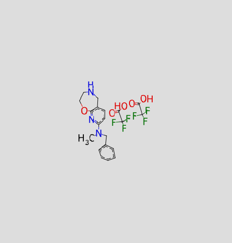 CN(Cc1ccccc1)c1ccc2c(n1)OCCNC2.O=C(O)C(F)(F)F.O=C(O)C(F)(F)F